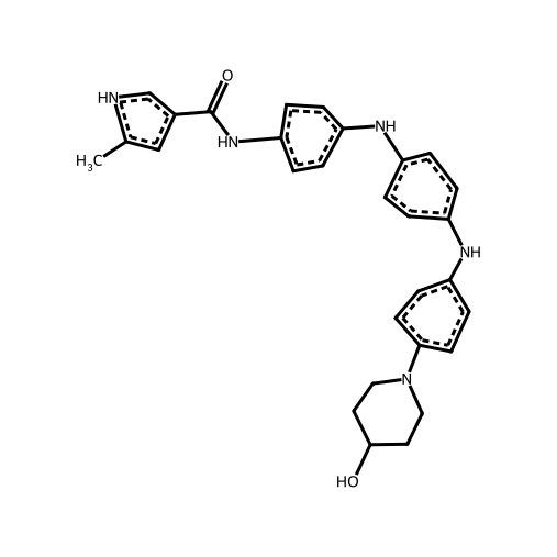 Cc1cc(C(=O)Nc2ccc(Nc3ccc(Nc4ccc(N5CCC(O)CC5)cc4)cc3)cc2)c[nH]1